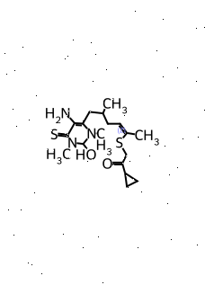 C/C(=C/CC(C)CC1=C(N)C(=S)N(C)C(O)N1C)SCC(=O)C1CC1